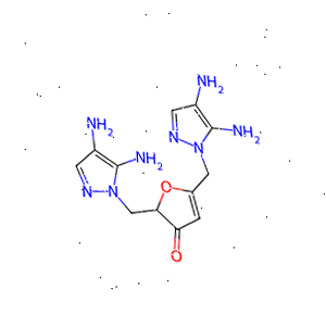 Nc1cnn(CC2=CC(=O)C(Cn3ncc(N)c3N)O2)c1N